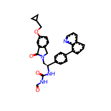 O=CNC(=O)N[C@@H](CN1Cc2ccc(OCC3CC3)cc2C1=O)c1ccc(-c2cccc3cccnc23)cc1